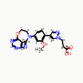 COc1cc(N2CCOc3ncnc4c3C2=N4)ccc1-c1cnn(CCC(=O)O)c1